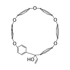 C=CC1(O)c2ccc(cc2)Oc2ccc(cc2)Oc2ccc(cc2)Oc2ccc(cc2)Oc2ccc(cc2)Oc2ccc1cc2